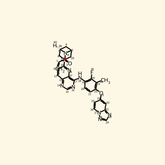 C=CC(=O)N1C2C[C@@H]1CN(c1ccc3ncnc(Nc4ccc(Oc5ccn6ncnc6c5)c(C)c4F)c3n1)C2